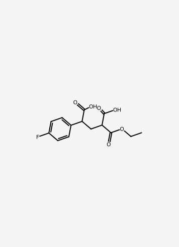 CCOC(=O)C(CC(C(=O)O)c1ccc(F)cc1)C(=O)O